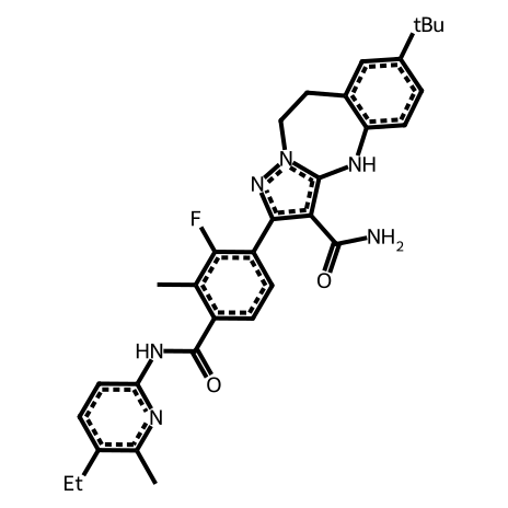 CCc1ccc(NC(=O)c2ccc(-c3nn4c(c3C(N)=O)Nc3ccc(C(C)(C)C)cc3CC4)c(F)c2C)nc1C